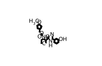 COc1ccc(COC(=O)NC2CCCCC2C(=O)NC(C#N)c2cccc(O)c2)cc1